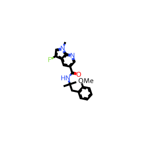 COc1ccccc1CC(C)(C)NC(=O)c1cnc2c(c1)c(F)cn2C